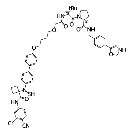 CC(C)(C)[C@H](NC(=O)COCCCCOc1ccc(-c2ccc(N(S)C3(C(=O)Nc4ccc(C#N)c(Cl)c4)CCC3)cc2)cc1)C(=O)N1CCC[C@H]1C(=O)NCc1ccc(C2=CNCO2)cc1